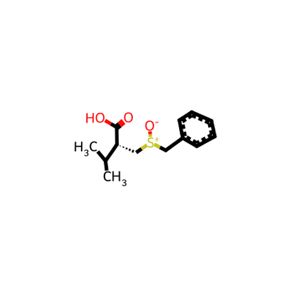 CC(C)[C@@H](C[S+]([O-])Cc1ccccc1)C(=O)O